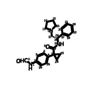 O=CNc1ccc(C2(C(=O)N[C@H](CN3CCCC3)c3ccccc3)CC2)cc1